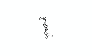 Cc1cc(OCc2ccc(C3CCCC3)c(C(F)(F)F)c2)cc2ccn(CCCC=O)c12